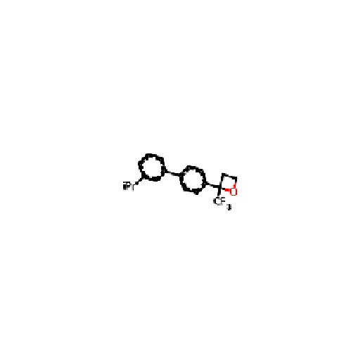 CC(C)c1cccc(-c2ccc(C3(C(F)(F)F)CCO3)cc2)c1